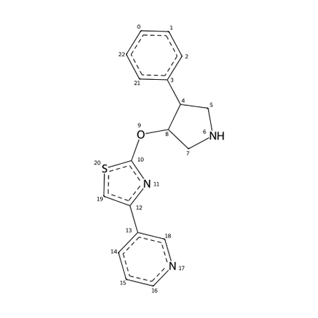 c1ccc(C2CNCC2Oc2nc(-c3cccnc3)cs2)cc1